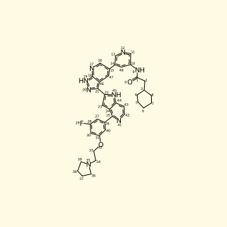 O=C(CC1CCCCC1)Nc1cncc(-c2cnc3[nH]nc(-c4cc5c(-c6cc(F)cc(OCCN7CCCC7)c6)nccc5[nH]4)c3c2)c1